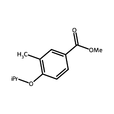 COC(=O)c1ccc(OC(C)C)c(C)c1